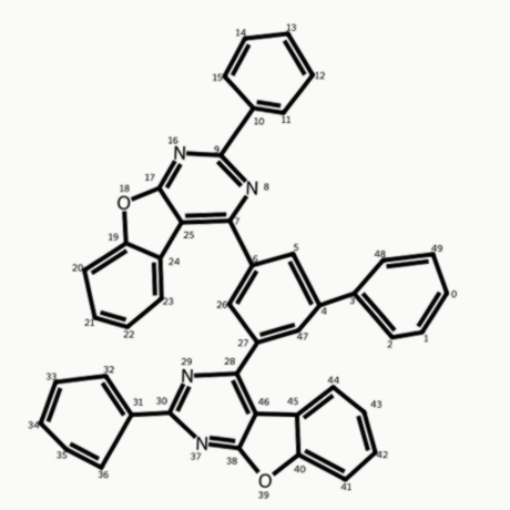 c1ccc(-c2cc(-c3nc(-c4ccccc4)nc4oc5ccccc5c34)cc(-c3nc(-c4ccccc4)nc4oc5ccccc5c34)c2)cc1